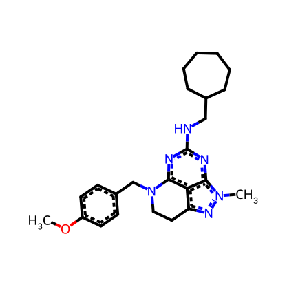 COc1ccc(CN2CCc3nn(C)c4nc(NCC5CCCCCC5)nc2c34)cc1